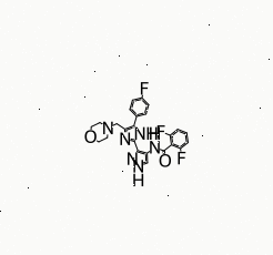 O=C(Nc1c[nH]nc1-c1nc(CN2CCOCC2)c(-c2ccc(F)cc2)[nH]1)c1c(F)cccc1F